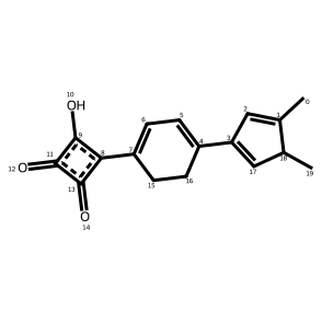 CC1=CC(C2=CC=C(c3c(O)c(=O)c3=O)CC2)=CC1C